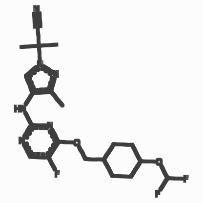 Cc1nn(C(C)(C)C#N)cc1Nc1ncc(F)c(OCC2CCC(OC(F)F)CC2)n1